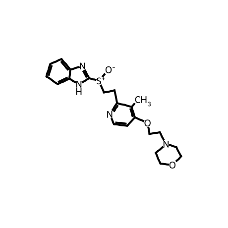 Cc1c(OCCN2CCOCC2)ccnc1CC[S+]([O-])c1nc2ccccc2[nH]1